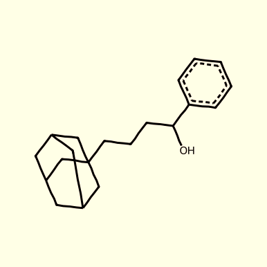 OC(CCCC12CC3CC(CC(C3)C1)C2)c1ccccc1